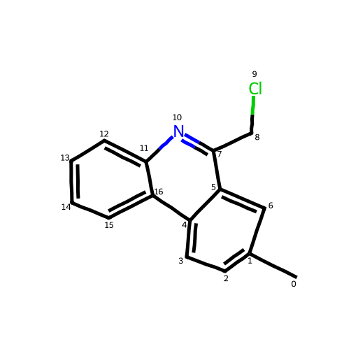 Cc1ccc2c(c1)c(CCl)nc1ccccc12